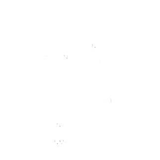 CCCCn1c(=O)n(C2CC2)c(=O)c2c(C)c(CNNC)sc21